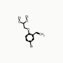 C=Cc1cc(Br)ccc1OCC(OCC)OCC